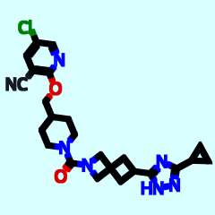 N#Cc1cc(Cl)cnc1OCC1CCN(C(=O)N2CC3(CC(c4nc(C5CC5)n[nH]4)C3)C2)CC1